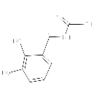 CC(=O)NCc1cccc(O)c1O